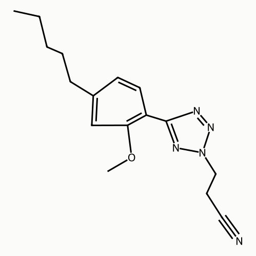 CCCCCc1ccc(-c2nnn(CCC#N)n2)c(OC)c1